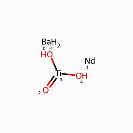 [BaH2].[Nd].[O]=[Ti]([OH])[OH]